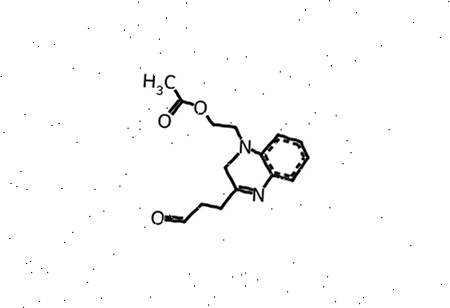 CC(=O)OCCN1CC(CCC=O)=Nc2ccccc21